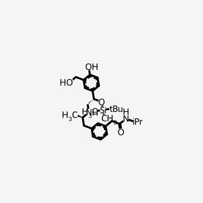 CC(C)NC(=O)Cc1cccc(C[C@@H](C)NC[C@@H](O[Si](C)(C)C(C)(C)C)c2ccc(O)c(CO)c2)c1